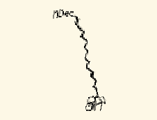 CCCCCCCCCCCCCCCCCCCCCCCCCC(=O)OO